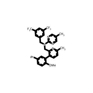 COc1ccc(C(C)C)cc1-c1ccc(C)nc1CN(Cc1cc(C(F)(F)F)cc(C(F)(F)F)c1)c1ncc(C)cn1